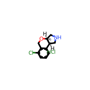 Cl.Clc1cccc2c1CO[C@H]1CNC[C@@H]21